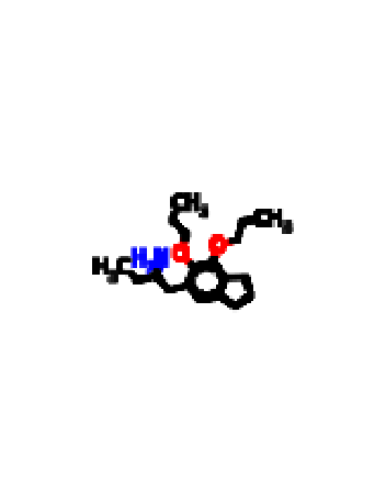 CCCOc1c(CC(N)CC)cc2c(c1OCCC)CCC2